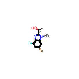 C[C@H](O)c1nc2c(F)cc(Br)cc2n1C(C)(C)C